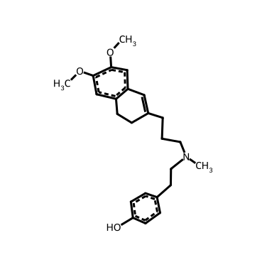 COc1cc2c(cc1OC)CCC(CCCN(C)CCc1ccc(O)cc1)=C2